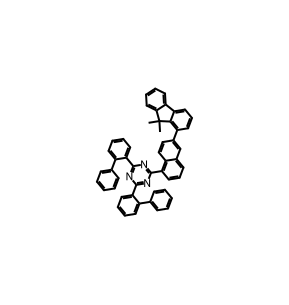 CC1(C)c2ccccc2-c2cccc(-c3ccc4c(-c5nc(-c6ccccc6-c6ccccc6)nc(-c6ccccc6-c6ccccc6)n5)cccc4c3)c21